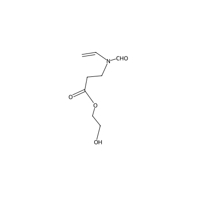 C=CN(C=O)CCC(=O)OCCO